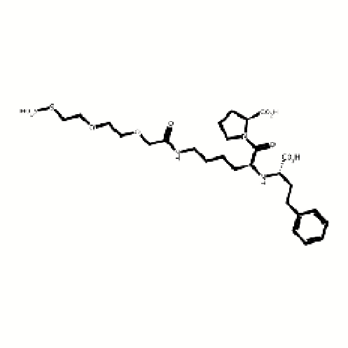 O=C(COCCOCCSS(=O)(=O)O)NCCCC[C@H](N[C@@H](CCc1ccccc1)C(=O)O)C(=O)N1CCC[C@H]1C(=O)O